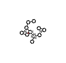 c1ccc(-c2cccc(-c3ccc(-n4c5ccccc5c5ccccc54)c(-c4ccc(-c5nc(-c6ccccc6)nc(-c6cccc(-n7c8ccccc8c8ccccc87)c6)n5)nc4)c3)c2)cc1